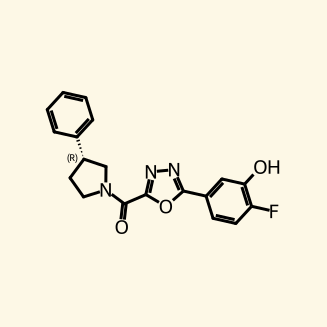 O=C(c1nnc(-c2ccc(F)c(O)c2)o1)N1CC[C@H](c2ccccc2)C1